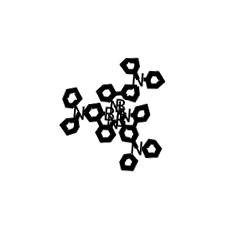 c1ccc(N(c2ccccc2)c2ccc3c(c2)-c2ccccc2N2B3N3B(c4ccc(N(c5ccccc5)c5ccccc5)cc4-c4ccccc43)N3B2c2ccc(N(c4ccccc4)c4ccccc4)cc2-c2ccccc23)cc1